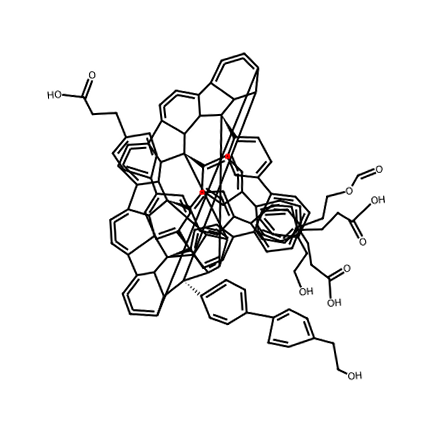 O=COCCc1ccc(-c2ccc([C@@]34C5C6=C=C=C7C8=C=C=C9C%10=C=C=C%11C%12=C=C=C%13C%14=C=C=C6C3C%14[C@@]3(c6ccc(-c%14ccc(CCC(=O)O)cc%14)cc6)C6=C%14C%15=C([C@](c%16ccc(-c%17ccc(CCO)cc%17)cc%16)(C8C9[C@@]%15(c8ccc(-c9ccc(CCO)cc9)cc8)C%10C%11[C@@]%14(c8ccc(-c9ccc(CCC(=O)O)cc9)cc8)C%12C%133)C75)[C@@]64c3ccc(-c4ccc(CCC(=O)O)cc4)cc3)cc2)cc1